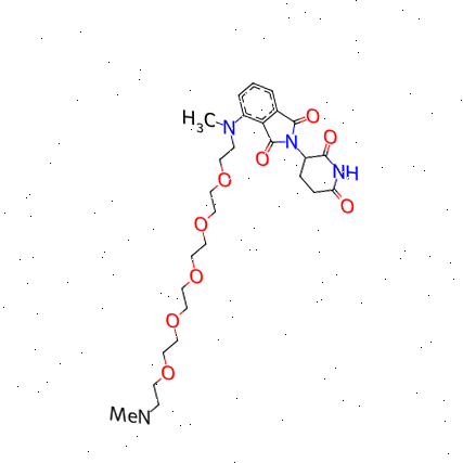 CNCCOCCOCCOCCOCCOCCN(C)c1cccc2c1C(=O)N(C1CCC(=O)NC1=O)C2=O